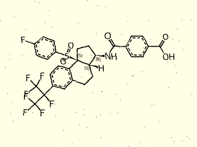 O=C(O)c1ccc(C(=O)N[C@@H]2CC[C@@]3(S(=O)(=O)c4ccc(F)cc4)c4ccc(C(F)(C(F)(F)F)C(F)(F)F)cc4CC[C@@H]23)cc1